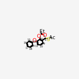 CCC(=O)Oc1c(CSC(C)=O)cccc1Oc1ccccc1